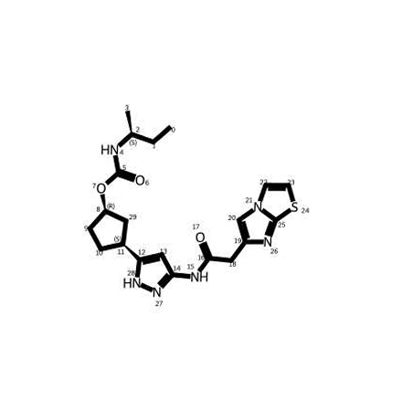 CC[C@H](C)NC(=O)O[C@@H]1CC[C@H](c2cc(NC(=O)Cc3cn4ccsc4n3)n[nH]2)C1